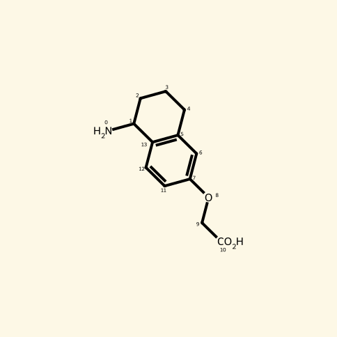 NC1CCCc2cc(OCC(=O)O)ccc21